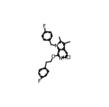 Cc1c(C)n(Cc2ccc(F)cc2)c2c(OCCc3ccc(F)cc3)nccc12.Cl